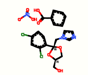 O=C(O)c1ccccc1.O=[N+]([O-])O.OC[C@@H]1CO[C@@](Cn2ccnc2)(c2ccc(Cl)cc2Cl)O1